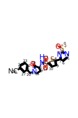 C[S+]([O-])c1nccc(-c2ccc(S(=O)(=O)N[C@H]3CCN(Cc4cccc(C#N)c4)C3=O)s2)n1